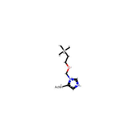 CC(=O)Nc1cncn1COCC[Si](C)(C)C